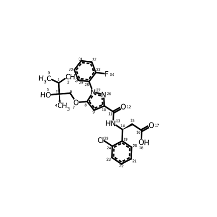 CC(C)[C@@](C)(O)COc1cc(C(=O)N[C@@H](CC(=O)O)c2ccccc2Cl)nn1-c1ccccc1F